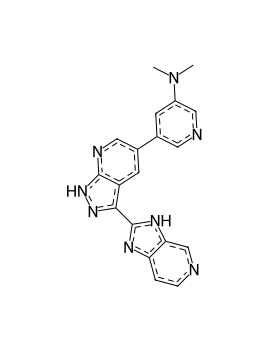 CN(C)c1cncc(-c2cnc3[nH]nc(-c4nc5ccncc5[nH]4)c3c2)c1